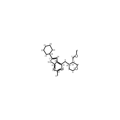 COC[C@H]1COCCN1Cc1nc(C)nc2sc(C3CCCCC3)cc12